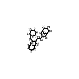 c1ccn2c(CN3CCCCC3)c(CCC3CC4CCCC(C4)C3)nc2c1